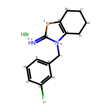 Br.N=c1sc2c(n1Cc1cccc(F)c1)CCCC2